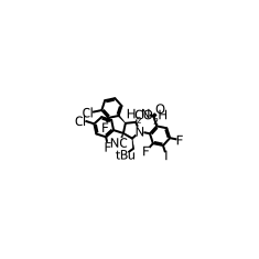 CC(C)(C)C[C@@H]1N(c2c(C(N)=O)cc(F)c(I)c2F)[C@@H](C(=O)O)[C@H](c2cccc(Cl)c2F)[C@@]1(C#N)c1ccc(Cl)cc1F